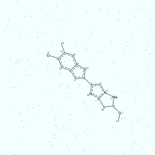 COC1Nn2cc(-c3cc4cc(Cl)c(C)cc4o3)nc2S1